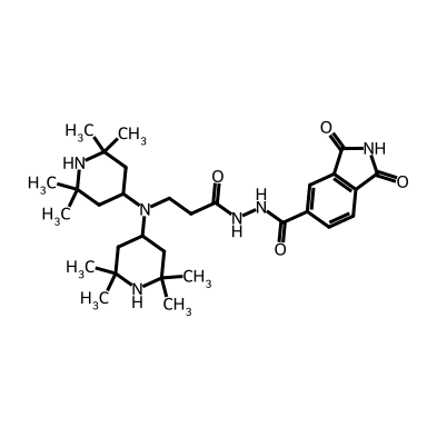 CC1(C)CC(N(CCC(=O)NNC(=O)c2ccc3c(c2)C(=O)NC3=O)C2CC(C)(C)NC(C)(C)C2)CC(C)(C)N1